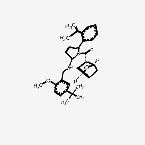 COc1ccc(C(C)(C)C)cc1CNC1CCC(c2ccccc2C(C)C)N1C(=O)[C@H]1C[C@@H]2CC[C@H]1O2